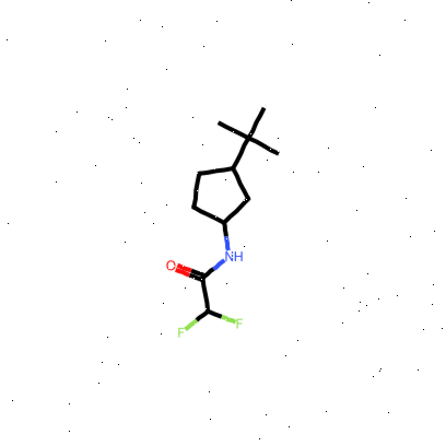 CC(C)(C)C1CCC(NC(=O)C(F)F)C1